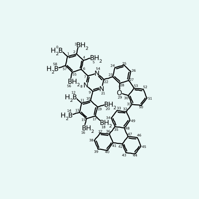 Bc1c(B)c(B)c(-c2nc(-c3c(B)c(B)c(B)c(B)c3B)nc(-c3cccc4c3oc3c(-c5ccc6c7ccccc7c7ccccc7c6c5)cccc34)n2)c(B)c1B